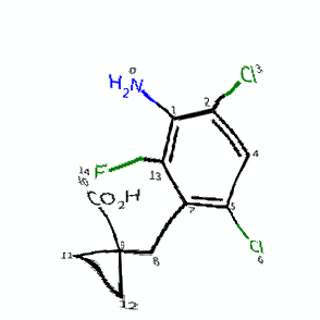 Nc1c(Cl)cc(Cl)c(CC2(C(=O)O)CC2)c1F